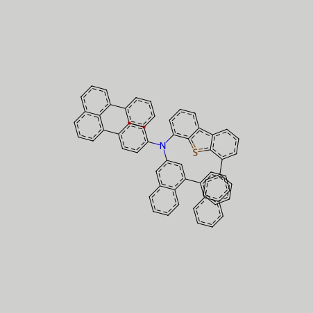 c1ccc(-c2cccc3c2sc2c(N(c4ccc(-c5cccc6cccc(-c7ccccc7)c56)cc4)c4cc(-c5cccc6ccccc56)c5ccccc5c4)cccc23)cc1